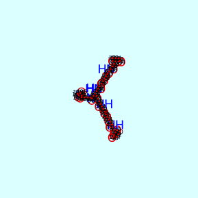 O=C(CCCOc1c2occc2cc2ccc(=O)oc12)NCCOCCOCCOCCOCCC(=O)NCCCOc1cc(OCCCNC(=O)CCOCCOCCOCCOCCNC(=O)CCCOc2c3occc3cc3ccc(=O)oc23)cc(C(=O)NCCCCCC(=O)ON2C(=O)CCC2=O)c1